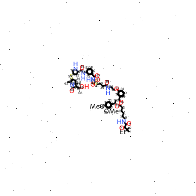 CCC(C)(C)C(=O)C(=O)NCCCCCC(=O)O[C@H](CCc1ccc(OC)c(OC)c1)c1cccc(OCCNC(=O)CCCS(=O)(=O)NC(=O)c2cccc(NC(=O)[C@@H]3C[C@H](SC4=C(C)N5C(=O)[C@H]([C@@H](C)O)[C@H]5[C@H]4C)CN3)c2)c1